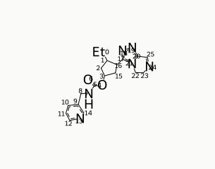 CCC1CC(OC(=O)NCc2cccnc2)CC1c1nnc2n1CCN=C2